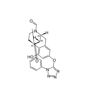 O=CN1CC[C@]23CC(=O)CC[C@H]2[C@H]1Cc1cc(Oc2nnnn2-c2ccccc2)cc(O)c13